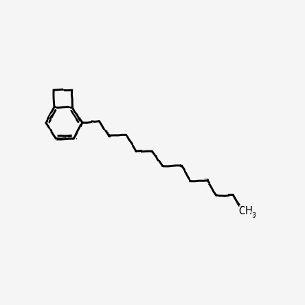 CCCCCCCCCCCCc1[c]ccc2c1CC2